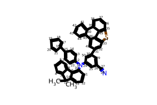 CC1(C)c2ccccc2-c2c(N(c3ccc(-c4ccccc4)cc3)c3cc(C#N)cc(-c4cc5sc6cccc7c8ccccc8c(c4)c5c67)c3)cccc21